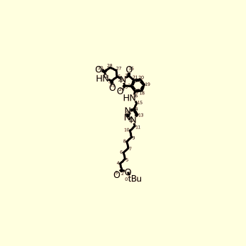 CC(C)(C)OC(=O)CCCCCCCCn1cc(CNc2cccc3c2C(=O)N(C2CCC(=O)NC2=O)C3=O)nn1